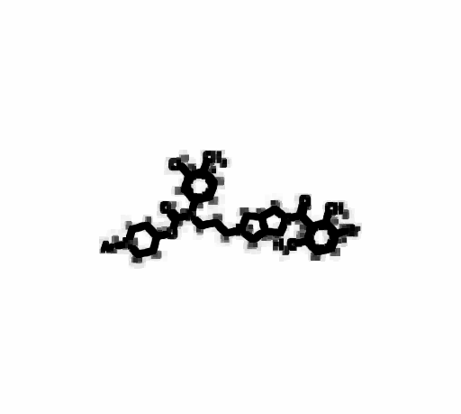 CC(=O)N1CCC(OC(=O)N(CCCN2CC3CN(C(=O)c4c(C)ccc(Br)c4C)CC3C2)c2ccc(C)c(Cl)c2)CC1